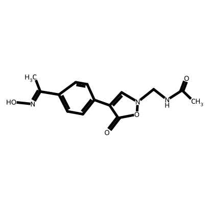 CC(=O)NCn1cc(-c2ccc(C(C)=NO)cc2)c(=O)o1